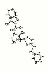 CC(C)C[C@H](NC(=O)c1sc2ccccc2c1Cl)C(=O)N[C@H]1CCN(CCc2ccccc2)C1